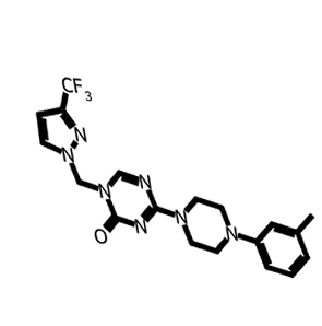 Cc1cccc(N2CCN(c3ncn(Cn4ccc(C(F)(F)F)n4)c(=O)n3)CC2)c1